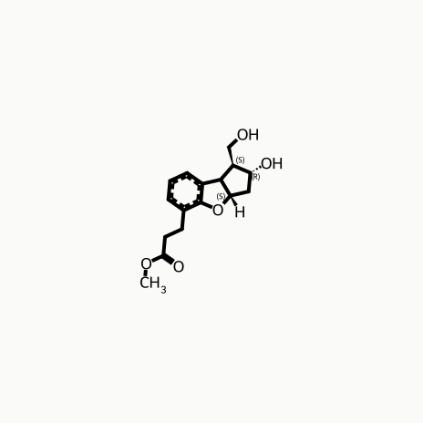 COC(=O)CCc1cccc2c1O[C@H]1C[C@@H](O)[C@H](CO)C21